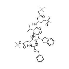 CC(C)[C@H](NC(=O)[C@@H](NC(=O)[C@H](CC(=O)OC(C)(C)C)NC(=O)OCc1ccccc1)C1Cc2ccccc2C1)C(=O)N[C@H](/C=C/S(C)(=O)=O)CC(=O)OC(C)(C)C